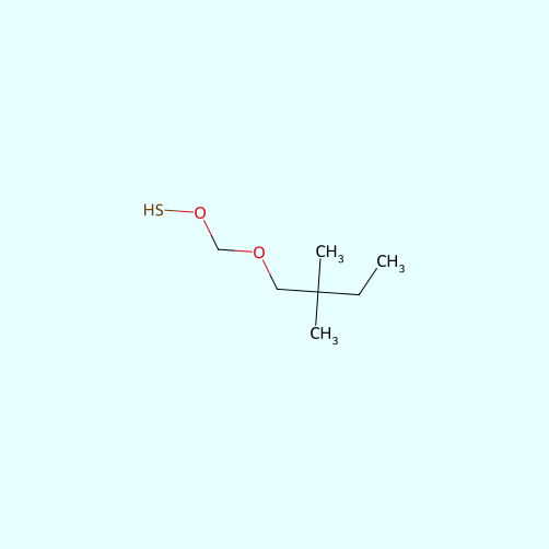 CCC(C)(C)COCOS